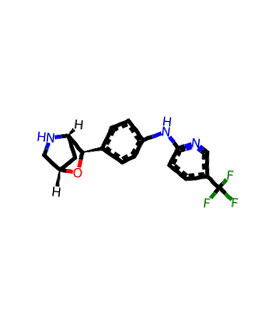 FC(F)(F)c1ccc(Nc2ccc([C@H]3O[C@@H]4CN[C@H]3C4)cc2)nc1